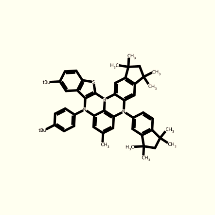 Cc1cc2c3c(c1)N(c1ccc(C(C)(C)C)cc1)c1c(sc4ccc(C(C)(C)C)cc14)B3c1cc3c(cc1N2c1ccc2c(c1)C(C)(C)CC2(C)C)C(C)(C)CC3(C)C